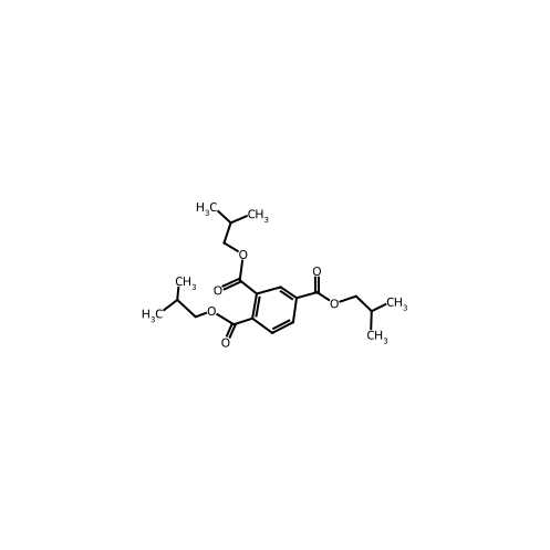 CC(C)COC(=O)c1ccc(C(=O)OCC(C)C)c(C(=O)OCC(C)C)c1